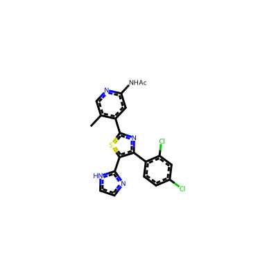 CC(=O)Nc1cc(-c2nc(-c3ccc(Cl)cc3Cl)c(-c3ncc[nH]3)s2)c(C)cn1